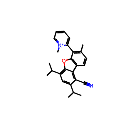 Cc1ccc2c(oc3c(C(C)C)cc(C(C)C)c(C#N)c32)c1-c1cccc[n+]1C